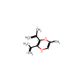 C=C(C)C1=C(C(=C)C)OC(C)=CO1